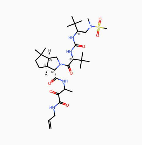 C=CCNC(=O)C(=O)C(C)NC(=O)[C@@H]1[C@H]2CCC(C)(C)[C@H]2CN1C(=O)[C@@H](NC(=O)N[C@H](CN(C)S(C)(=O)=O)C(C)(C)C)C(C)(C)C